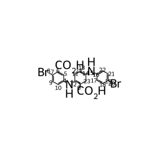 O=C(O)C1=C(Nc2ccc(Br)cc2)CC(C(=O)O)=C(Nc2ccc(Br)cc2)C1